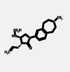 C=CC[C@H]1C(=O)N(c2ccc3c(c2)CCN(C)CC3)C[C@@H]1NC(=O)O